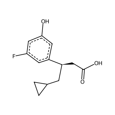 O=C(O)C[C@@H](CC1CC1)c1cc(O)cc(F)c1